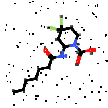 CCCCCCC(=O)NC1CC(F)(F)CCN1C(=O)O